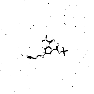 CN(C)C(=O)[C@@H]1C[C@@H](OCCC#N)CN1C(=O)OC(C)(C)C